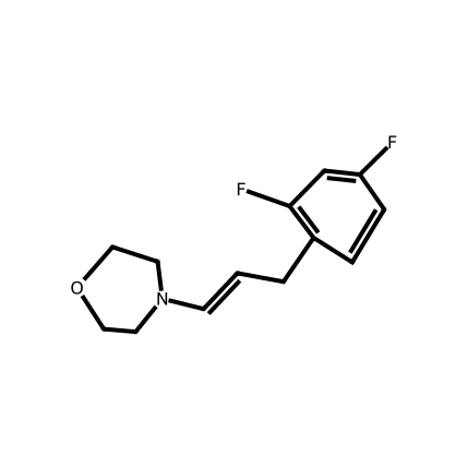 Fc1ccc(CC=CN2CCOCC2)c(F)c1